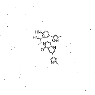 Cc1cc(-c2ccc(=N)n(C(=N)C(C)n3ccc4ncc(-c5cnn(C)c5)cc4c3=O)c2)on1